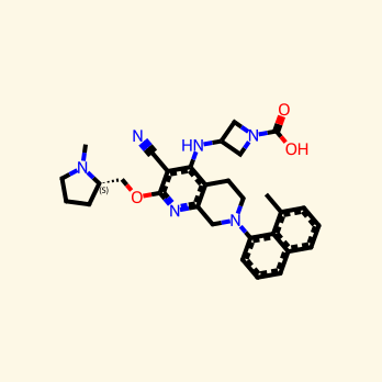 Cc1cccc2cccc(N3CCc4c(nc(OC[C@@H]5CCCN5C)c(C#N)c4NC4CN(C(=O)O)C4)C3)c12